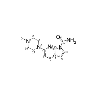 CN1CCN(c2ccc3ccn(C(N)=O)c3n2)CC1